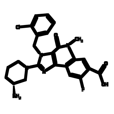 Cn1c(=O)c2c(nc(N3CCC[C@@H](N)C3)n2Cc2ccccc2Cl)c2cc(F)c(C(=O)O)cc21